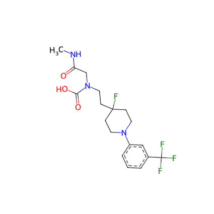 CNC(=O)CN(CCC1(F)CCN(c2cccc(C(F)(F)F)c2)CC1)C(=O)O